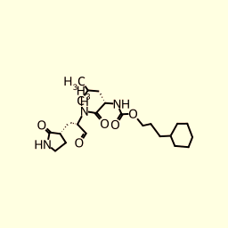 CC(C)C[C@H](NC(=O)OCCCC1CCCCC1)C(=O)N[C@H](C=O)C[C@@H]1CCNC1=O